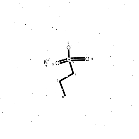 CCCS(=O)(=O)[O-].[K+]